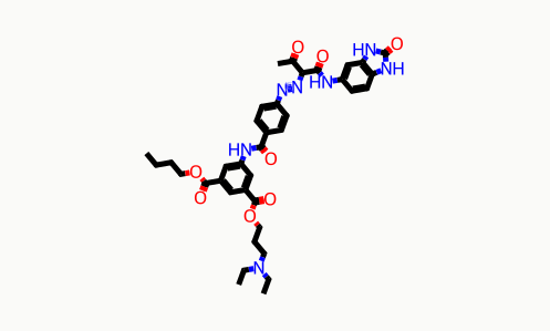 CCCCOC(=O)c1cc(NC(=O)c2ccc(/N=N/C(C(C)=O)C(=O)Nc3ccc4[nH]c(=O)[nH]c4c3)cc2)cc(C(=O)OCCCN(CC)CC)c1